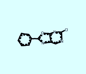 Clc1ncc2nc(-c3ccccc3)oc2n1